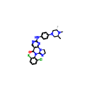 CC1CN(c2ccc(Nc3ncc4c(n3)N3CCN=C3N(c3c(F)cccc3Cl)C4=O)cc2)C[C@H](C)N1C